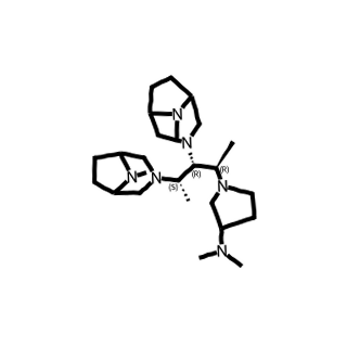 C[C@H]([C@H]([C@H](C)N1CC2CCC(C1)N2C)N1CC2CCC(C1)N2C)N1CCC(N(C)C)C1